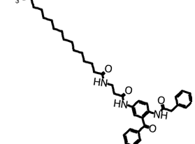 CCCCCCCCCCCCCCCC(=O)NCCC(=O)Nc1ccc(NC(=O)Cc2ccccc2)c(C(=O)c2ccccc2)c1